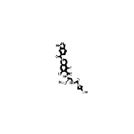 O=C(N[C@@H](CNC(=O)N1CC(O)C1)C(=O)O)c1c(Cl)cc2c(c1Cl)CCN(C(=O)c1ccc3cn[nH]c3c1)C2